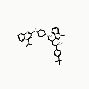 CN(C)c1nc(N[C@H]2CC[C@@H](NCC(CC(O)c3ccc(C(C)(C)C)cc3)c3cn(C)c4ccccc34)CC2)nc2ccccc12